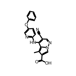 Cc1c(C(=O)O)cn2ncc(C#N)c(Nc3ccc(Oc4ccccc4)cn3)c12